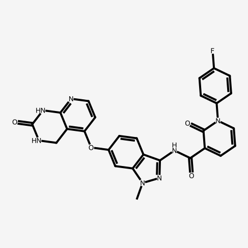 Cn1nc(NC(=O)c2cccn(-c3ccc(F)cc3)c2=O)c2ccc(Oc3ccnc4c3CNC(=O)N4)cc21